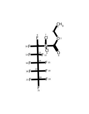 CCOC(=O)[Si](Cl)(Cl)C(F)(F)C(F)(F)C(F)(F)C(F)(F)C(F)(F)F